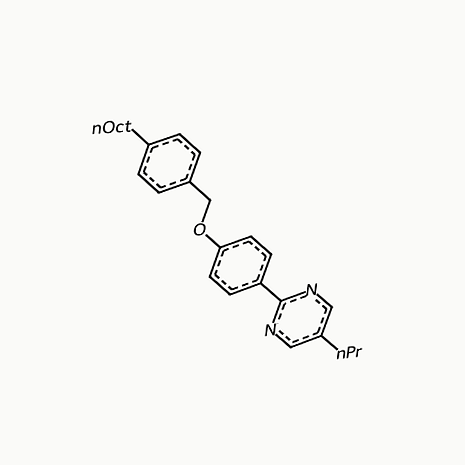 CCCCCCCCc1ccc(COc2ccc(-c3ncc(CCC)cn3)cc2)cc1